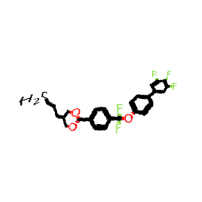 C=CCCC1COC(c2ccc(C(F)(F)Oc3ccc(-c4cc(F)c(F)c(F)c4)cc3)cc2)OC1